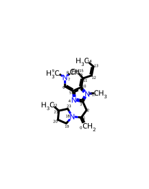 C=C(Cc1nc(=C/N(C)C)/c(=C(/C=C\C)CC)n1C)N1CCC(C)C1